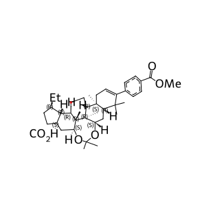 CC[C@@H]1CC[C@]2(C(=O)O)C[C@@H]3OC(C)(C)O[C@H]4C[C@H]5C(C)(C)C(c6ccc(C(=O)OC)cc6)=CC[C@]5(C)[C@H]5CC[C@H]([C@@H]12)[C@]3(C)[C@]45C